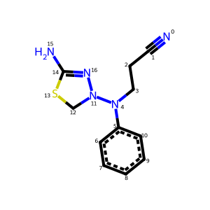 N#CCCN(c1ccccc1)N1CSC(N)=N1